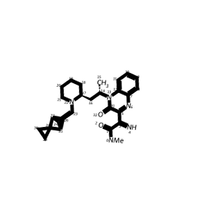 CNC(=O)C(=N)c1nc2ccccc2n([C@@H](C)C[C@@H]2CCCCN2C=C2C3CC2C32CC2)c1=O